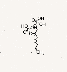 C=CCOCC(COP(=O)(O)O)OP(=O)(O)O